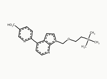 C[Si](C)(C)CCOCn1ccc2c(-c3ccc(C(=O)O)cn3)ccnc21